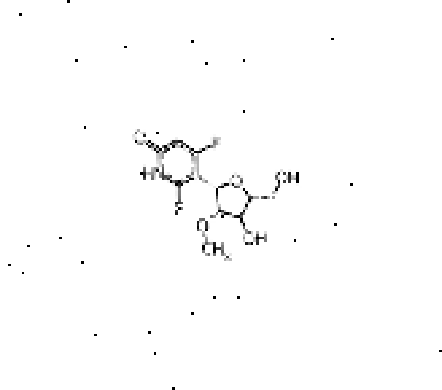 CO[C@H]1C(O)[C@@H](CO)O[C@H]1c1c(F)cc(=O)[nH]c1F